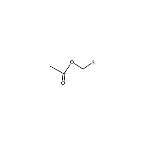 CC(=O)O[CH2][K]